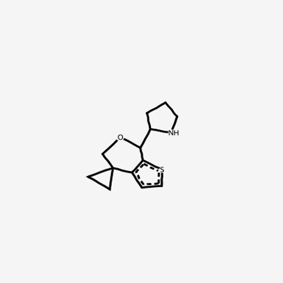 c1cc2c(s1)C(C1CCCN1)OCC21CC1